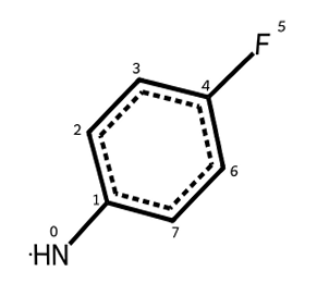 [NH]c1ccc(F)cc1